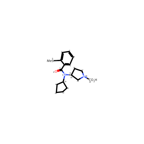 CSc1ccccc1C(=O)N(C1CCCC1)[C@H]1CCN(C(=O)O)C1